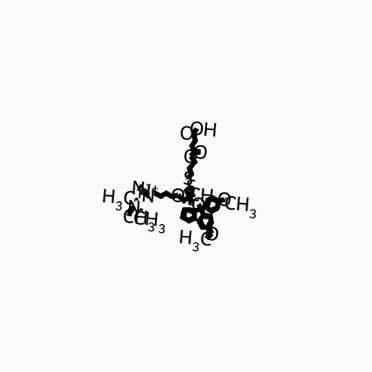 CCN(CC)CC.COc1ccc(C(OCC(C)(COCCCCN=[N+]=[N-])CSSCCCOC(=O)CCC(=O)O)(c2ccccc2)c2ccc(OC)cc2)cc1